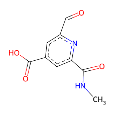 CNC(=O)c1cc(C(=O)O)cc(C=O)n1